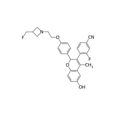 CC1=C(c2ccc(C#N)cc2F)C(c2ccc(OCCN3CC(CF)C3)cc2)Oc2ccc(O)cc21